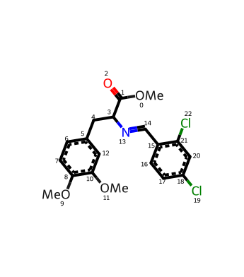 COC(=O)C(Cc1ccc(OC)c(OC)c1)/N=C/c1ccc(Cl)cc1Cl